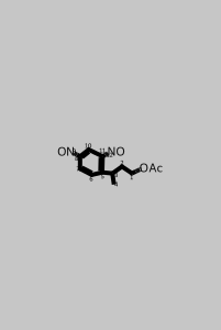 CC(=O)OCCC(C)c1ccc(N=O)cc1N=O